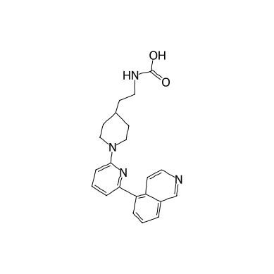 O=C(O)NCCC1CCN(c2cccc(-c3cccc4cnccc34)n2)CC1